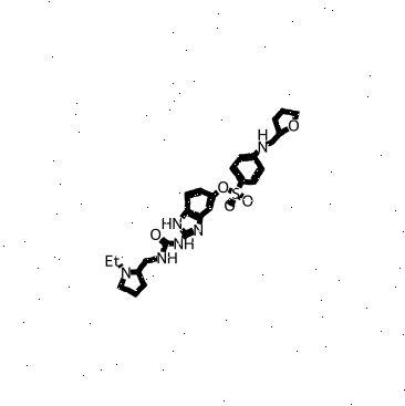 CCN1CCCC1CNC(=O)Nc1nc2cc(OS(=O)(=O)c3ccc(NCC4CCCO4)cc3)ccc2[nH]1